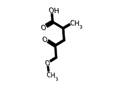 COCC(=O)CC(C)C(=O)O